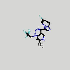 Cc1cc(NCC(F)(F)F)c(C(=N)c2cnc3ccc(F)cn23)cn1